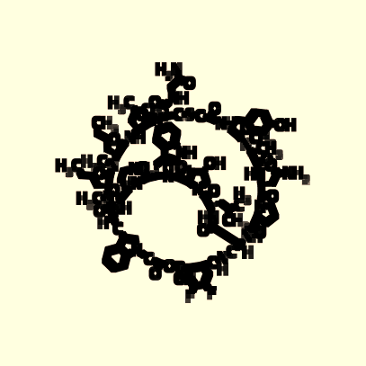 CCCC[C@H]1C(=O)N(C)[C@@H](CCCC)C(=O)N[C@@H](CC(C)C)C(=O)N[C@H](C(=O)NCC(N)=O)CSCC(=O)N[C@@H](Cc2ccc(O)cc2)C(=O)N(C)[C@@H](C)C(=O)N[C@@H](CC(N)=O)C(=O)N2CCC[C@H]2C(=O)N[C@H]2CNCc3cc(F)c(F)cc3B(O)OC(=O)Cn3cc(c4ccccc43)C[C@H](NC(=O)[C@H](CCN)NC(=O)[C@H](Cc3c[nH]c4ccccc34)NC(=O)[C@@H]3C[C@@H](O)CN3C(=O)[C@H](CC(C)C)NC2=O)C(=O)N1C